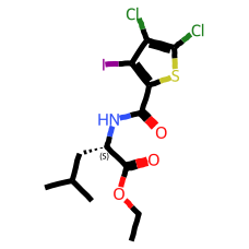 CCOC(=O)[C@H](CC(C)C)NC(=O)c1sc(Cl)c(Cl)c1I